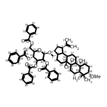 C=C(C)[C@@H]1CC[C@]2(CO[C@@H]3OC(COC(=O)c4ccccc4)[C@@H](OC(=O)c4ccccc4)C(OC(=O)c4ccccc4)C3OC(=O)c3ccccc3)CC[C@]3(C)C(CCC4[C@@]5(C)CC[C@H](OC)C(C)(C)C5CC[C@]43C)C12